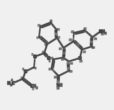 C=C(C)OCOC(=O)c1ccccc1-c1c2ccc(=N)cc-2oc2cc(N)ccc12